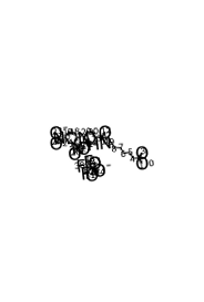 COC(=O)CCCCCCNC(=O)c1cc[n+](-c2ccc([N+](=O)[O-])cc2[N+](=O)[O-])cc1.O=S(=O)([O-])C(F)(F)F